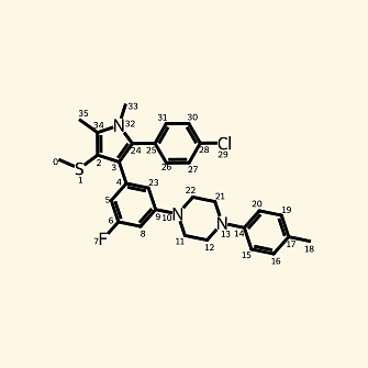 CSc1c(-c2cc(F)cc(N3CCN(c4ccc(C)cc4)CC3)c2)c(-c2ccc(Cl)cc2)n(C)c1C